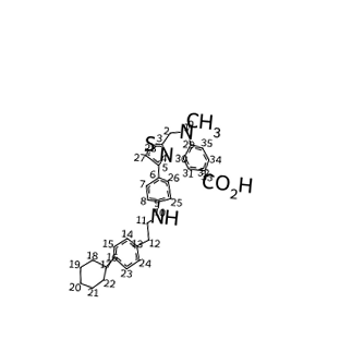 CN(Cc1nc(-c2ccc(NCCc3ccc(C4CCCCC4)cc3)cc2)cs1)c1ccc(C(=O)O)cc1